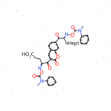 CCCCCCC/C(=N\OC(=O)N(C)c1ccccc1)C(=O)c1ccc2cc(C(=O)/C(CCC(=O)O)=N\OC(=O)N(C)c3ccccc3)c(=O)oc2c1